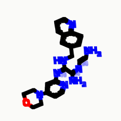 N/C=C/N=C(N)\C(=N/c1cc(N2CCOCC2)ccn1)NCc1ccc2ncccc2c1